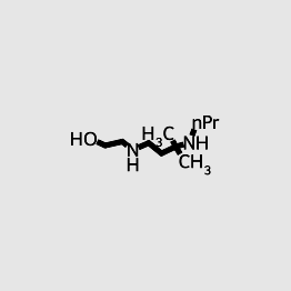 CCCNC(C)(C)CCNCCO